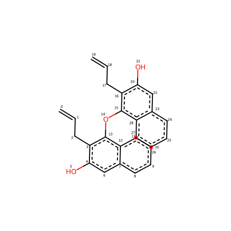 C=CCc1c(O)cc2ccccc2c1Oc1c(CC=C)c(O)cc2ccccc12